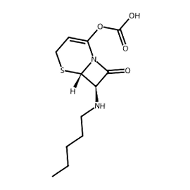 CCCCCN[C@@H]1C(=O)N2C(OC(=O)O)=CCS[C@@H]12